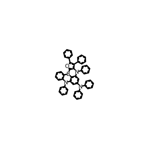 c1ccc(-c2oc3c(c2-c2ccccc2)N(c2ccccc2)c2cc(N(c4ccccc4)c4ccccc4)cc4c2B3c2ccccc2N4c2ccccc2)cc1